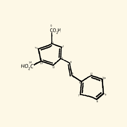 O=C(O)c1cc(/C=C/c2ccccc2)cc(C(=O)O)c1